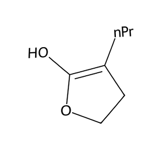 CCCC1=C(O)OCC1